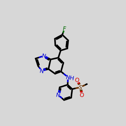 CS(=O)(=O)c1ccncc1Nc1cc(-c2ccc(F)cc2)c2nccnc2c1